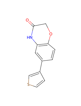 O=C1COc2ccc(-c3ccsc3)cc2N1